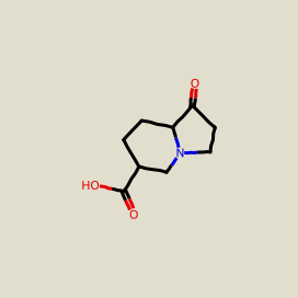 O=C(O)C1CCC2C(=O)CCN2C1